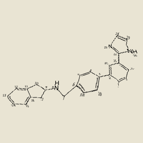 c1cc(-c2ccc(CNC3Cc4ccccc4C3)cc2)cc(-c2ncc[nH]2)c1